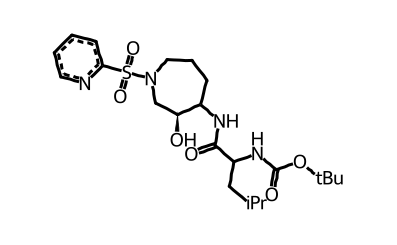 CC(C)CC(NC(=O)OC(C)(C)C)C(=O)NC1CCCN(S(=O)(=O)c2ccccn2)C[C@@H]1O